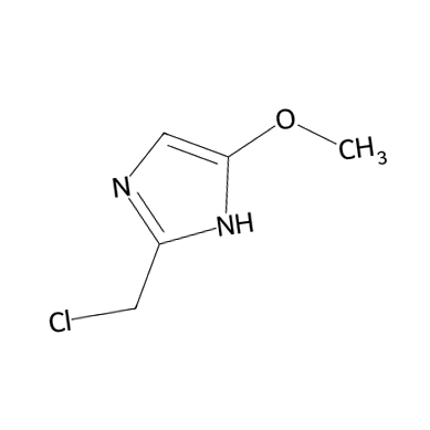 COc1cnc(CCl)[nH]1